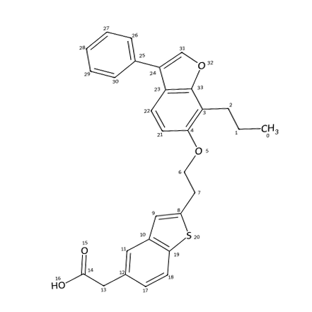 CCCc1c(OCCc2cc3cc(CC(=O)O)ccc3s2)ccc2c(-c3ccccc3)coc12